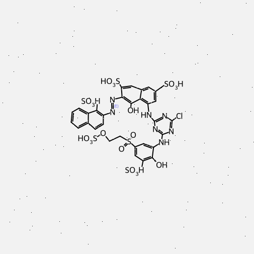 O=S(=O)(O)OCCS(=O)(=O)c1cc(Nc2nc(Cl)nc(Nc3cc(S(=O)(=O)O)cc4cc(S(=O)(=O)O)c(/N=N/c5ccc6ccccc6c5S(=O)(=O)O)c(O)c34)n2)c(O)c(S(=O)(=O)O)c1